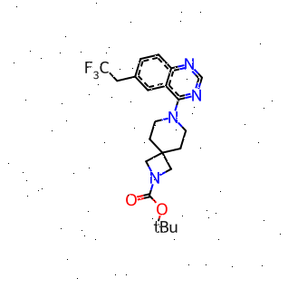 CC(C)(C)OC(=O)N1CC2(CCN(c3ncnc4ccc(CC(F)(F)F)cc34)CC2)C1